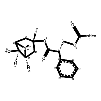 CCCCCCC(=O)OC[C@@H](C(=O)O[C@H]1CC2[C@H](O)[C@H](C1)N2C)c1ccccc1